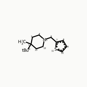 CC(C)(C)C1(C)CCN(Cc2cccs2)CC1